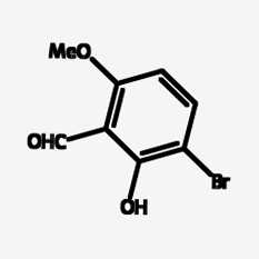 COc1ccc(Br)c(O)c1C=O